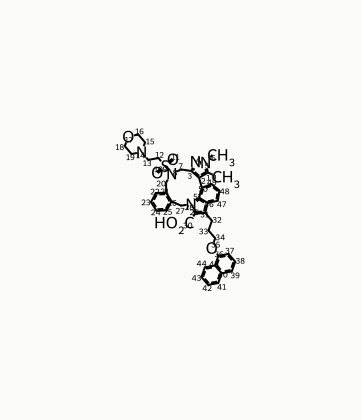 Cc1c2c(nn1C)CN(S(=O)(=O)CCN1CCOCC1)Cc1ccccc1Cn1c(C(=O)O)c(CCCOc3cccc4ccccc34)c3cccc-2c31